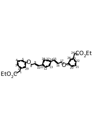 CCOC(=O)Cc1cccc(OC/C=C/c2ccc(/C=C/COc3cccc(CC(=O)OCC)c3)cc2)c1